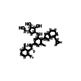 Cc1nc(N[C@H](C)c2c(F)cncc2F)nc(N[C@@H]2C[C@H](CO)[C@@H](O)[C@H]2O)c1-c1nc2c(C3CC3)nccc2s1